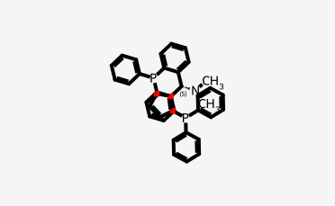 CN(C)[C@H](C1=C(P(c2ccccc2)c2ccccc2)C=CC1)c1ccccc1P(c1ccccc1)c1ccccc1